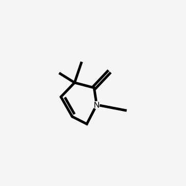 C=C1N(C)CC=CC1(C)C